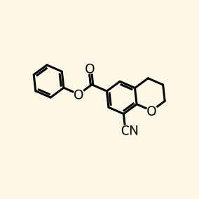 N#Cc1cc(C(=O)Oc2ccccc2)cc2c1OCCC2